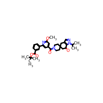 COc1cc(C(=O)N2CCC3(CC2)CC(=O)c2c(cnn2C(C)C)C3)cc(-c2cccc(C(=O)OC(C)(C)C)c2)n1